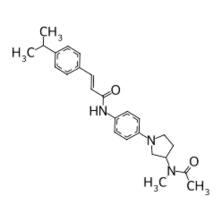 CC(=O)N(C)C1CCN(c2ccc(NC(=O)C=Cc3ccc(C(C)C)cc3)cc2)C1